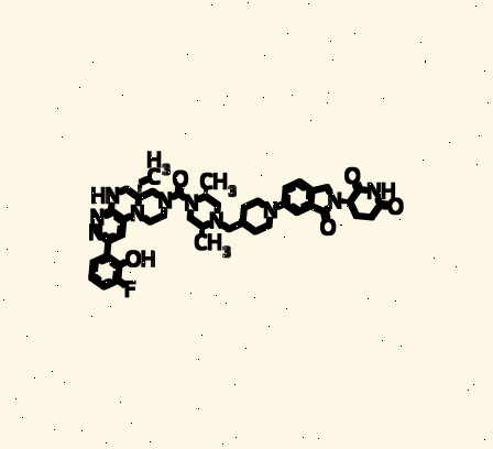 CC[C@@]12CNc3nnc(-c4cccc(F)c4O)cc3N1CCN(C(=O)N1C[C@H](C)N(CC3CCN(c4ccc5c(c4)C(=O)N([C@@H]4CCC(=O)NC4=O)C5)CC3)C[C@H]1C)C2